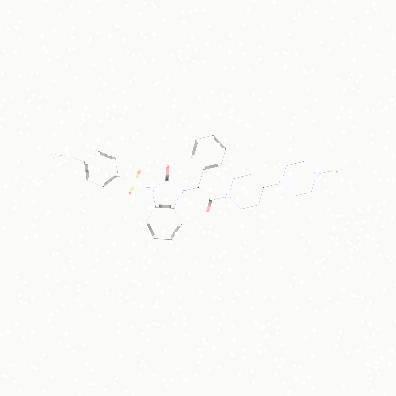 CCCN1CCN(C2CCN(C(=O)C(c3ccccc3)n3c(=O)n(S(=O)(=O)c4ccc(OC)cc4)c4ccc(Cl)cc43)CC2)CC1